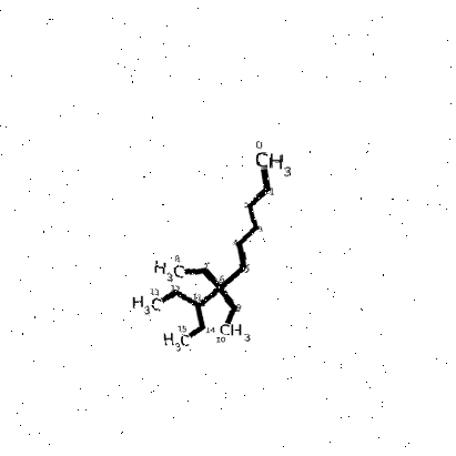 CCCCCCC(CC)(CC)[C](CC)CC